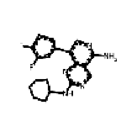 Nc1ncc(-c2ccc(F)c(F)c2)c2nc(NC3CCCCC3)ncc12